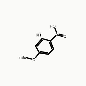 CCCCOc1ccc(S(=O)O)cc1.[KH]